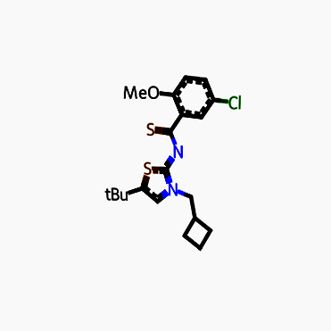 COc1ccc(Cl)cc1C(=S)/N=c1\sc(C(C)(C)C)cn1CC1CCC1